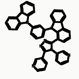 c1cncc(-c2nnc(-c3cccc4c5ccccc5n(-c5cccc(-n6c7ccccc7c7ccccc76)c5)c34)n2-c2cccnc2)c1